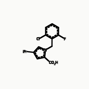 CC(C)c1cc(C(=O)O)n(Cc2c(F)cccc2Cl)c1